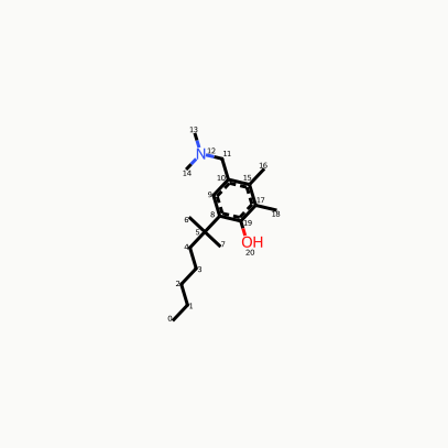 CCCCCC(C)(C)c1cc(CN(C)C)c(C)c(C)c1O